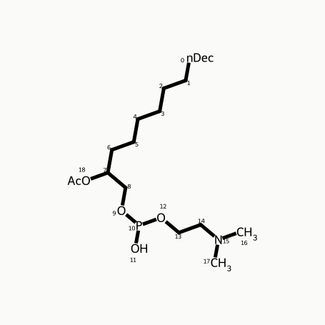 CCCCCCCCCCCCCCCCC(COP(O)OCCN(C)C)OC(C)=O